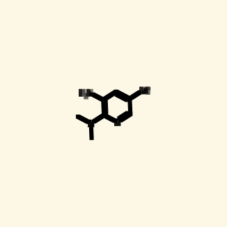 [C-]#[N+]c1cnc(N(C)C)c(N)c1